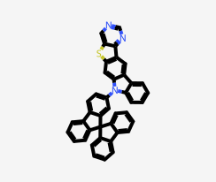 c1ccc2c(c1)-c1ccccc1C21c2ccccc2-c2ccc(-n3c4ccccc4c4cc5c(cc43)sc3cncnc35)cc21